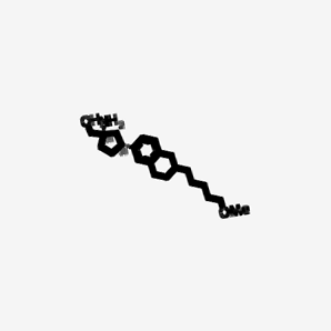 COCCCCCC1CCc2cc([C@@H]3CC[C@@](N)(CO)C3)ccc2C1